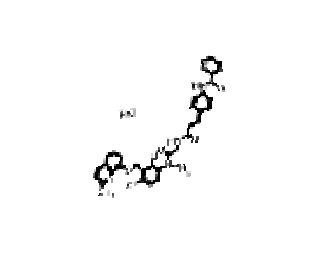 Cc1ccc2cccc(OCc3c(Cl)ccc(N(C)C(=O)CNC(=O)/C=C/c4ccc(NC(=O)c5ccccc5)cc4)c3Cl)c2n1.Cl